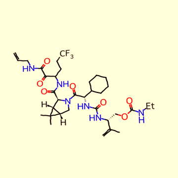 C=CCNC(=O)C(=O)C(CCC(F)(F)F)NC(=O)[C@@H]1[C@@H]2[C@H](CN1C(=O)[C@@H](NC(=O)N[C@H](COC(=O)NCC)C(=C)C)C1CCCCC1)C2(C)C